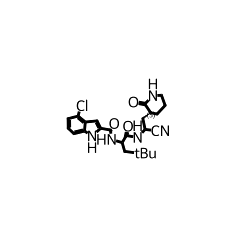 CC(C)(C)CC(NC(=O)c1cc2c(Cl)cccc2[nH]1)C(=O)NC(C#N)C[C@@H]1CCCNC1=O